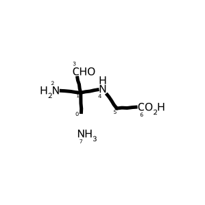 CC(N)(C=O)NCC(=O)O.N